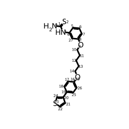 NC(=S)Nc1cccc(OCCCCCOc2ccc(-c3ccsc3)cc2)c1